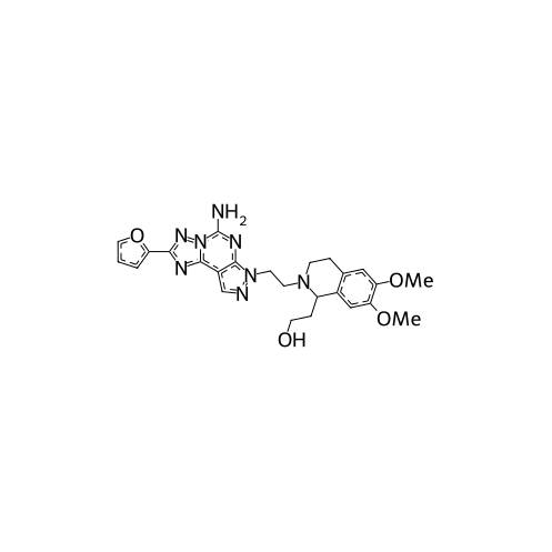 COc1cc2c(cc1OC)C(CCO)N(CCn1ncc3c1nc(N)n1nc(-c4ccco4)nc31)CC2